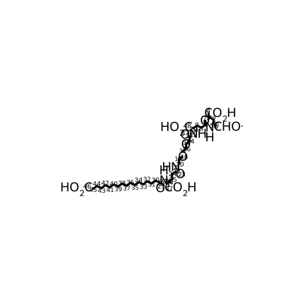 O=[C][C@H](CCC(=O)O)NC(=O)CC[C@H](NC(=O)COCCOCCNC(=O)CC[C@H](NC(=O)CCCCCCCCCCCCCCCCC(=O)O)C(=O)O)C(=O)O